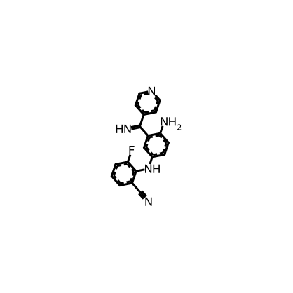 N#Cc1cccc(F)c1Nc1ccc(N)c(C(=N)c2ccncc2)c1